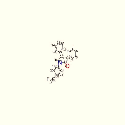 O=C1C(c2ccccc2)=C(c2ccccc2)CN1c1ccc(C(F)(F)F)cc1